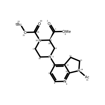 COC(=O)[C@H]1CN(c2ccnc3c2CCN3C(C)=O)CCN1C(=O)OC(C)(C)C